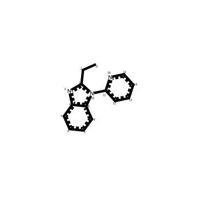 CCc1nc2ccccc2n1-c1ccccn1